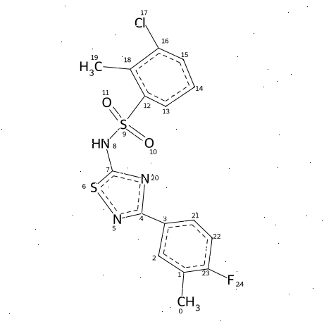 Cc1cc(-c2nsc(NS(=O)(=O)c3cccc(Cl)c3C)n2)ccc1F